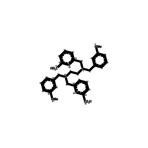 COc1cccc(CN(CCN(Cc2cccc(OC)c2)Cc2cccc(C(=O)O)n2)Cc2cccc(C(=O)O)n2)c1